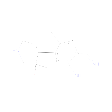 Cc1cc(C=N)c(N)cc1C1CCNCC1(C)O